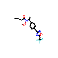 CCCC(=O)N(OC)C(C)c1ccc(-c2noc(C(F)(F)F)n2)cc1